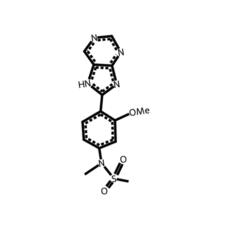 COc1cc(N(C)S(C)(=O)=O)ccc1-c1nc2ncncc2[nH]1